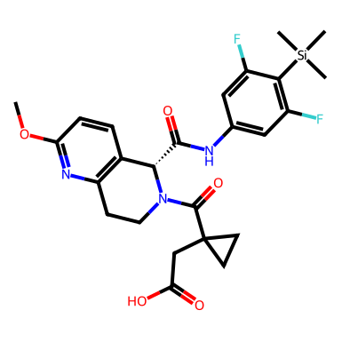 COc1ccc2c(n1)CCN(C(=O)C1(CC(=O)O)CC1)[C@H]2C(=O)Nc1cc(F)c([Si](C)(C)C)c(F)c1